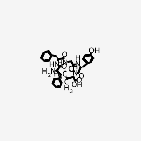 CC(C)[C@H](NC(=O)[C@H](Cc1ccc(O)cc1)NC(=O)CNC(=O)[C@H](Cc1ccccc1)NC(=O)[C@@H](N)Cc1ccccc1)C(=O)O